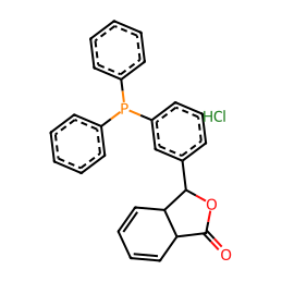 Cl.O=C1OC(c2cccc(P(c3ccccc3)c3ccccc3)c2)C2C=CC=CC12